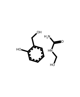 NC(=O)NCO.OCc1ccccc1O